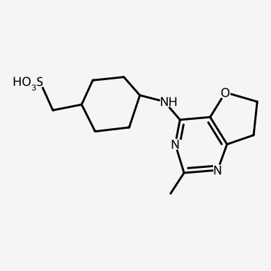 Cc1nc2c(c(NC3CCC(CS(=O)(=O)O)CC3)n1)OCC2